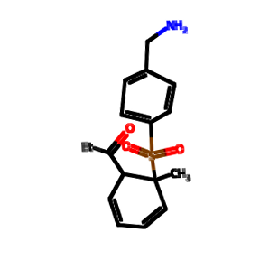 CCC(=O)C1C=CC=CC1(C)S(=O)(=O)c1ccc(CN)cc1